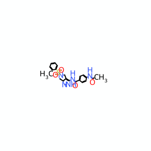 CC(=O)Nc1ccc(C(=O)Nc2[nH]nc3c2CN(S(=O)(=O)c2ccccc2C)C3)cc1